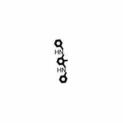 Cc1c(CNCc2ccccc2)cccc1CNCc1ccccc1